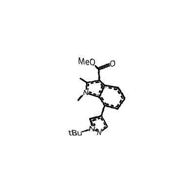 COC(=O)c1c(C)n(C)c2c(-c3cnn(C(C)(C)C)c3)cccc12